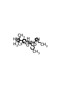 CCCn1nccc1C(=O)N[C@H](C(=O)Nc1ccc(-c2c(C)n[nH]c2CC)c(F)n1)[C@H]1CC[C@H](C)CC1